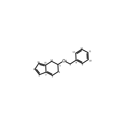 C1=CC2=CCC(OCc3ccccc3)CC2=C1